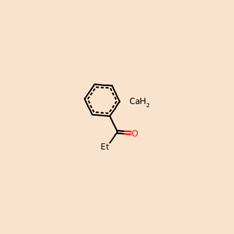 CCC(=O)c1ccccc1.[CaH2]